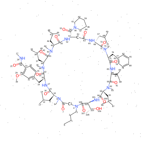 CCCCN1CC(=O)N(C)[C@@H](CC(C)C)C(=O)N[C@@H](Cc2ccc(C(=O)NC)c(OC)c2)C(=O)N(C)[C@@H](CC(C)C)C(=O)N(C)[C@@H](CC(C)C)C(=O)N[C@H](C(=O)N2CCCCC2)CC(=O)N[C@H](CC(C)C)C(=O)N(C)[C@@H](Cc2ccccc2)C(=O)N[C@@H](C(C)C)C(=O)N(C)[C@@H](CC(C)C)C(=O)N[C@@H]([C@@H](C)O)C1=O